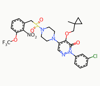 CC1(COc2c(N3CCN(S(=O)(=O)Cc4cccc(OC(F)(F)F)c4[N+](=O)[O-])CC3)cnn(-c3cccc(Cl)c3)c2=O)CC1